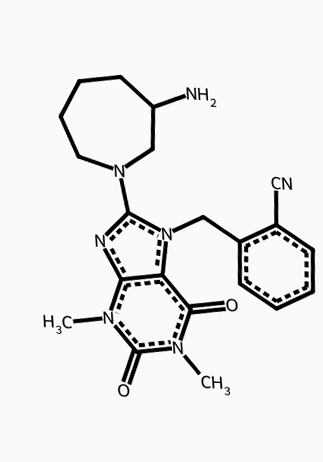 Cn1c(=O)c2c(nc(N3CCCCC(N)C3)n2Cc2ccccc2C#N)n(C)c1=O